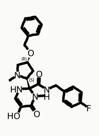 CN1C[C@H](OCc2ccccc2)C[C@H]1C1(C(=O)NCc2ccc(F)cc2)NC=C(O)C(=O)N1C